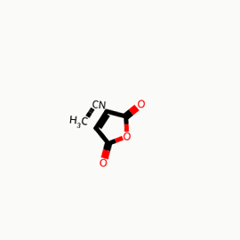 CC#N.O=C1C=CC(=O)O1